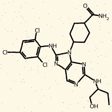 CCC(CO)Nc1ncc2nc(Nc3c(Cl)cc(Cl)cc3Cl)n(C3CCC(C(N)=O)CC3)c2n1